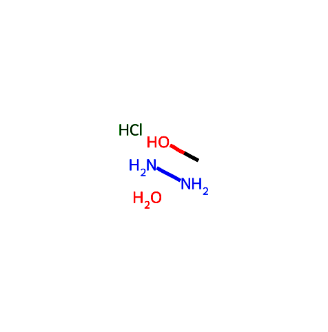 CO.Cl.NN.O